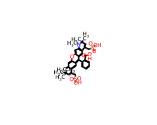 C=c1cc2c(cc1/C(=C\C(C)(C)C)CS(=O)(=O)O)=C(c1ccccc1C(=O)O)c1cc3c(cc1O2)N(C)C(C)(C)C=C3CS(=O)(=O)O